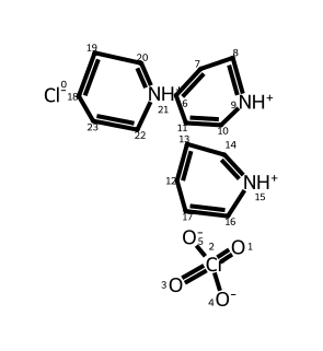 [Cl-].[O]=[Cr](=[O])([O-])[O-].c1cc[nH+]cc1.c1cc[nH+]cc1.c1cc[nH+]cc1